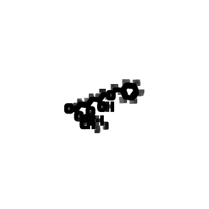 CC1(C)OC(=O)C=C(CC(O)COCc2ccccc2)O1